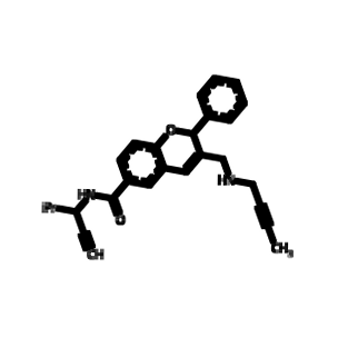 C#CC(NC(=O)c1ccc2c(c1)C=C(CNCC#CC)C(c1ccccc1)O2)C(C)C